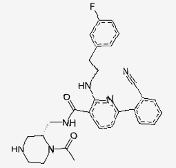 CC(=O)N1CCNC[C@@H]1CNC(=O)c1ccc(-c2ccccc2C#N)nc1NCCc1cccc(F)c1